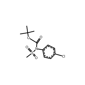 CC(C)(C)OC(=O)N(c1ccc(Cl)cc1)S(C)(=O)=O